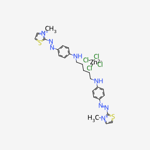 C[n+]1ccsc1/N=N/c1ccc(NCCCCCNc2ccc(/N=N/c3scc[n+]3C)cc2)cc1.[Cl][Zn-2]([Cl])([Cl])[Cl]